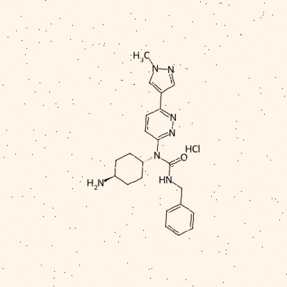 Cl.Cn1cc(-c2ccc(N(C(=O)NCc3ccccc3)[C@H]3CC[C@H](N)CC3)nn2)cn1